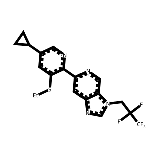 CCSc1cc(C2CC2)cnc1-c1cc2ncn(CC(F)(F)C(F)(F)F)c2cn1